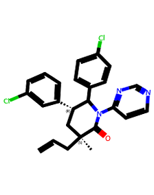 C=CC[C@@]1(C)C[C@H](c2cccc(Cl)c2)C(c2ccc(Cl)cc2)N(c2ccncn2)C1=O